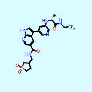 CC(C)[C@@H](Nc1cncc(-c2c[nH]c3ncc(C(=O)NCC4CCS(=O)(=O)C4)cc23)c1)C(=O)NCC(F)(F)F